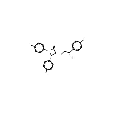 CC(C)c1ccc([C@@H]2[C@@H](CC[C@H](O)c3ccc(F)cc3)C(=O)N2c2ccc(F)cc2)cc1